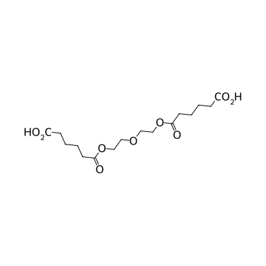 O=C(O)CCCCC(=O)OCCOCCOC(=O)CCCCC(=O)O